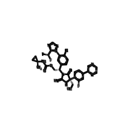 CC(C)(C)C[C@]1(c2ccc(-c3cnccn3)cc2F)NC(=N)N([C@H](COC(=O)NC2(C(F)(F)F)CC2)c2ccc(Cl)c(-n3ncnc3C(F)F)c2)C1=O